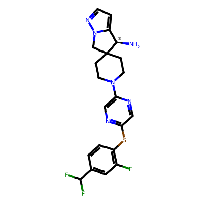 N[C@@H]1c2ccnn2CC12CCN(c1cnc(Sc3ccc(C(F)F)cc3F)cn1)CC2